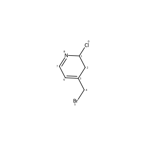 ClC1CC(CBr)=CC=N1